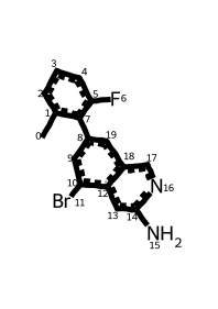 Cc1cccc(F)c1-c1cc(Br)c2cc(N)ncc2c1